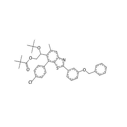 Cc1cc2nc(-c3cccc(OCc4ccccc4)c3)sc2c(-c2ccc(Cl)cc2)c1C(COC(=O)C(C)(C)C)OC(C)(C)C